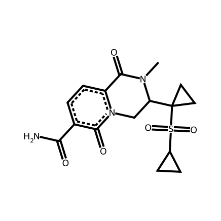 CN1C(=O)c2ccc(C(N)=O)c(=O)n2CC1C1(S(=O)(=O)C2CC2)CC1